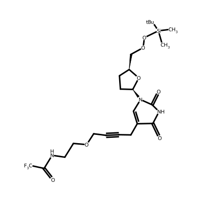 CC(C)(C)[Si](C)(C)OOC[C@@H]1CC[C@H](n2cc(CC#CCOCCNC(=O)C(F)(F)F)c(=O)[nH]c2=O)O1